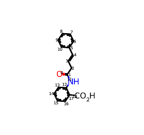 O=C(CC=Cc1ccccc1)Nc1ccccc1C(=O)O